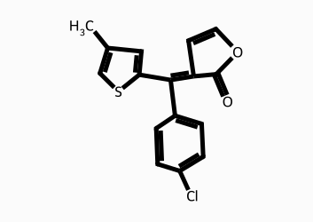 Cc1csc(C(=C2C=COC2=O)c2ccc(Cl)cc2)c1